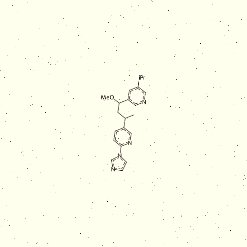 COC(CC(C)c1ccc(-n2ccnc2)nc1)c1cncc(C(C)C)c1